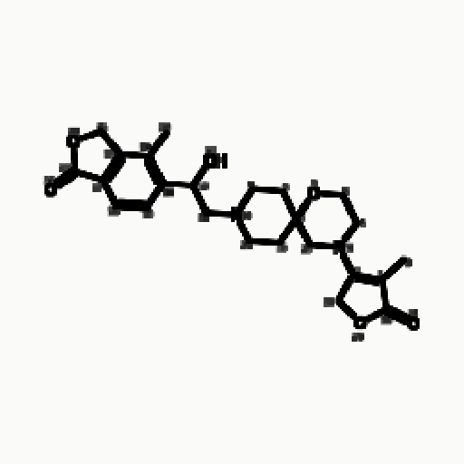 CC1=C(N2CCOC3(CCN(CC(O)c4ccc5c(c4C)COC5=O)CC3)C2)COC1=O